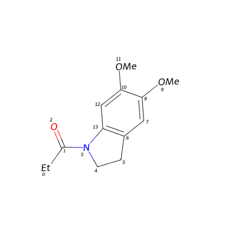 CCC(=O)N1CCc2cc(OC)c(OC)cc21